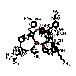 CCCCCCCCCCNCCN(C(=O)CC(C)(C)c1cc(P(=O)(O)CP(=O)(O)O)ccc1OP(=O)(O)O)[C@@]1(C)C[C@H](O[C@H]2[C@H](Oc3c4cc5cc3Oc3ccc(cc3Cl)[C@@H](O)[C@@H](NC(=O)[C@@H](CC(C)C)NC)C(=O)N[C@@H](CC(N)=O)C(=O)N[C@H]5C(=O)N[C@H]3C(=O)N[C@H](C(=O)N[C@H](C(=O)O)c5cc(O)cc(O)c5-c5cc3ccc5O)[C@H](O)c3ccc(c(Cl)c3)O4)O[C@H](CO)[C@@H](O)[C@@H]2O)O[C@@H](C)[C@H]1O